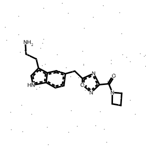 NCCc1c[nH]c2ccc(Cc3nc(C(=O)N4CCC4)no3)cc12